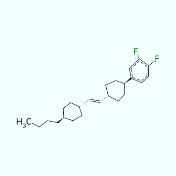 CCCC[C@H]1CC[C@H](/C=C/[C@H]2CC[C@H](c3ccc(F)c(F)c3)CC2)CC1